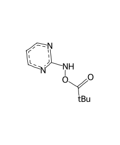 CC(C)(C)C(=O)ONc1ncccn1